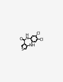 O=C1Nc2cc(Cl)c(Cl)cc2Nc2cscc21